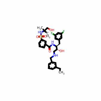 CCc1cccc(CNC[C@@H](O)[C@H](Cc2cc(F)cc(F)c2)NC(=O)c2cccc(S(=O)(=O)NC(C)(C)CO)c2)c1